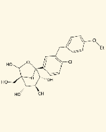 CCOc1ccc(Cc2cc([C@]34OC(O)[C@](CO)(O3)[C@@H](O)[C@H](O)[C@H]4O)ccc2Cl)cc1